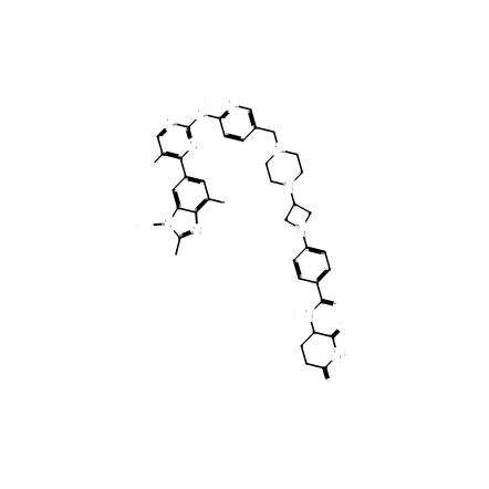 Cc1nc2c(F)cc(-c3nc(Nc4ccc(CN5CCN(C6CN(c7ccc(C(=O)NC8CCC(=O)NC8=O)cc7)C6)CC5)cn4)ncc3F)cc2n1C(C)C